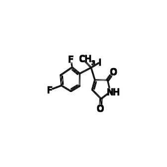 CC(I)(C1=CC(=O)NC1=O)c1ccc(F)cc1F